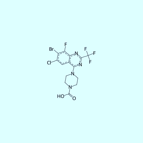 O=C(O)N1CCN(c2nc(C(F)(F)F)nc3c(F)c(Br)c(Cl)cc23)CC1